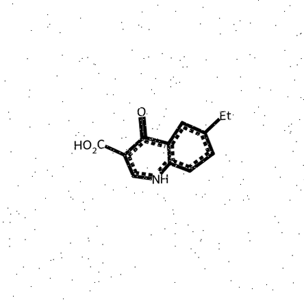 CCc1ccc2[nH]cc(C(=O)O)c(=O)c2c1